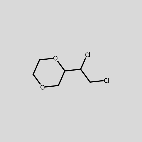 ClCC(Cl)C1COCCO1